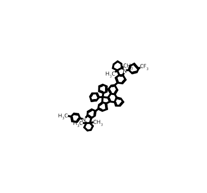 Cc1ccc(N2c3ccc(-c4ccc5c(c4)C(c4ccccc4)(c4ccccc4)c4c-5c5ccccc5c5cc(-c6ccc7c(c6)C6(C)CCCCC6(C)N7c6ccc(C(F)(F)F)cc6)ccc45)cc3C3(C)CCCCC23C)cc1